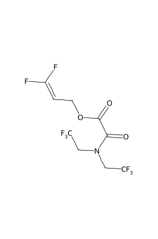 O=C(OCC=C(F)F)C(=O)N(CC(F)(F)F)CC(F)(F)F